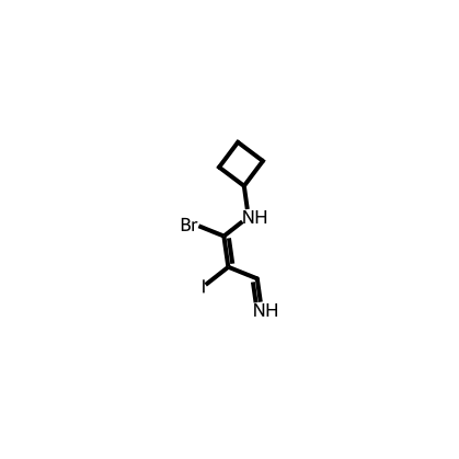 N=C/C(I)=C(/Br)NC1CCC1